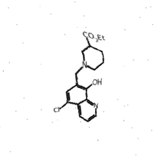 CCOC(=O)C1CCCN(Cc2cc(Cl)c3cccnc3c2O)C1